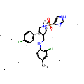 C[N@+]1(S(=O)(=O)c2c[nH]cn2)CC(CNc2ccc(C(F)(F)F)cc2Cl)[C@H](c2ccc(F)cc2)C1